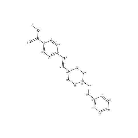 COC(=O)c1ccc(N=NN2CCN(CCc3ccccc3)CC2)cc1